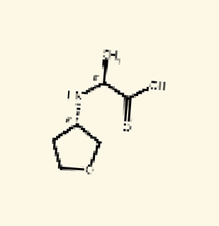 C[C@H](N[C@H]1CCOC1)C(=O)O